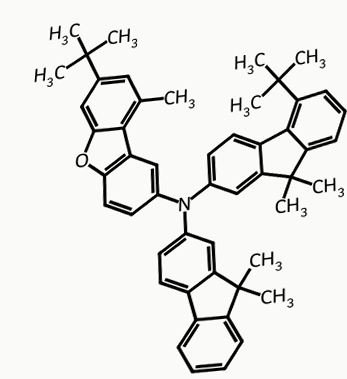 Cc1cc(C(C)(C)C)cc2oc3ccc(N(c4ccc5c(c4)C(C)(C)c4ccccc4-5)c4ccc5c(c4)C(C)(C)c4cccc(C(C)(C)C)c4-5)cc3c12